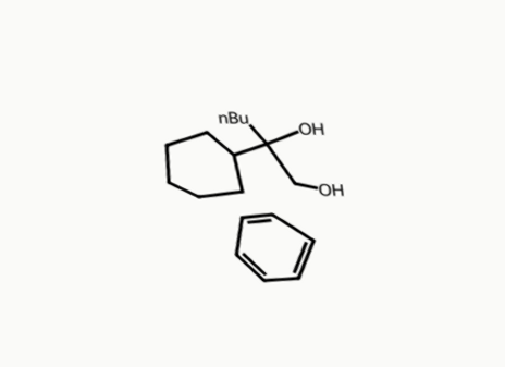 CCCCC(O)(CO)C1CCCCC1.c1ccccc1